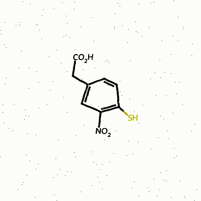 O=C(O)Cc1ccc(S)c([N+](=O)[O-])c1